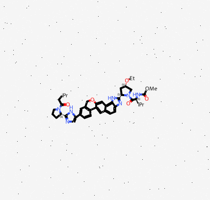 CCO[C@H]1C[C@@H](c2nc3ccc4cc5c(cc4c3[nH]2)OCc2cc(-c3cnc([C@@H]4CCCN4C(=O)[CH]C(C)C)[nH]3)ccc2-5)N(C(=O)[C@@H](NC(=O)OC)C(C)C)C1